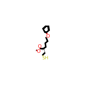 COC(=O)[C@@H](CCS)CCCCOc1ccccc1